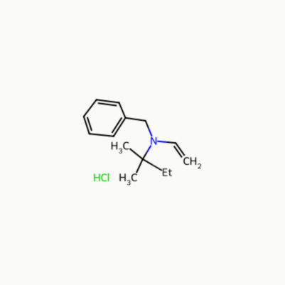 C=CN(Cc1ccccc1)C(C)(C)CC.Cl